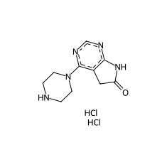 Cl.Cl.O=C1Cc2c(ncnc2N2CCNCC2)N1